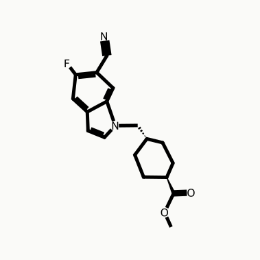 COC(=O)[C@H]1CC[C@H](Cn2ccc3cc(F)c(C#N)cc32)CC1